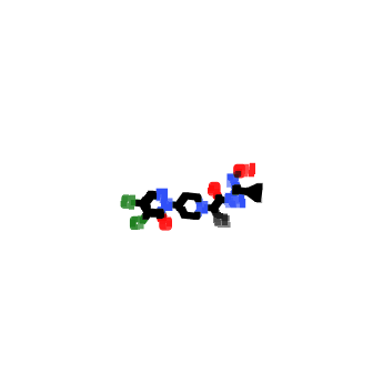 CCC(C(=O)NC(=NO)C1CC1)N1CCC(n2ncc(Cl)c(Cl)c2=O)CC1